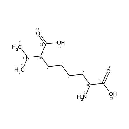 CN(C)C(CCCCC(N)C(=O)O)C(=O)O